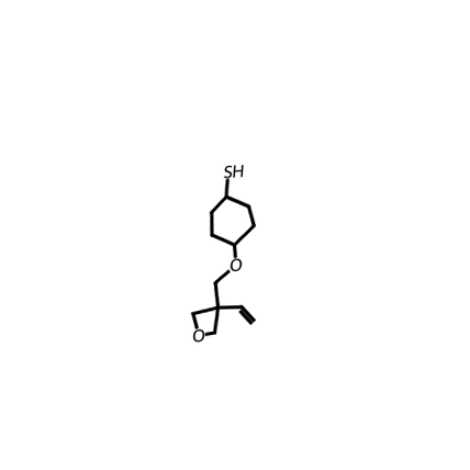 C=CC1(COC2CCC(S)CC2)COC1